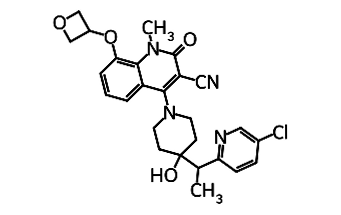 CC(c1ccc(Cl)cn1)C1(O)CCN(c2c(C#N)c(=O)n(C)c3c(OC4COC4)cccc23)CC1